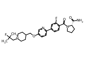 CC(C)(F)CN1CCC(COc2ccc(-c3ccc(C(=O)N4CCC[C@H]4C(N)=O)c(F)c3)nc2)CC1